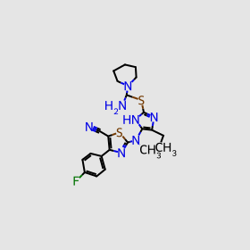 CCc1nc(SC(N)N2CCCCC2)[nH]c1N(C)c1nc(-c2ccc(F)cc2)c(C#N)s1